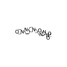 CC1(CN2CCc3nc(N4CCOCC4)ccc3C2)Cn2cc([N+](=O)[O-])nc2O1